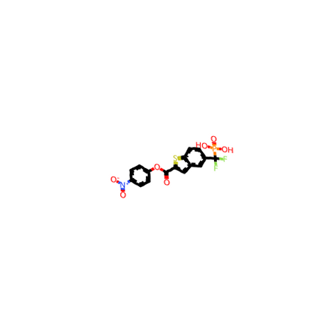 O=C(Oc1ccc([N+](=O)[O-])cc1)c1cc2cc(C(F)(F)P(=O)(O)O)ccc2s1